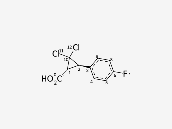 O=C(O)[C@H]1[C@H](c2ccc(F)cc2)C1(Cl)Cl